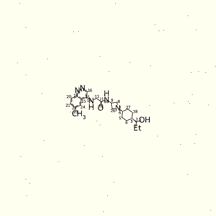 CCC(O)[C@H]1CC[C@@H](N2CC(NC(=O)CNc3cnnc4ccc(C)cc34)C2)CC1